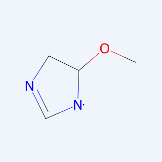 COC1CN=C[N]1